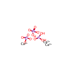 O=P([O-])([O-])[O-].O=P([O-])([O-])[O-].OP(O)O.[Ca+2].[Ca+2].[Ca+2]